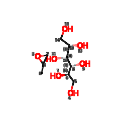 CC1CO1.OC[C@@H](O)[C@@H](O)[C@H](O)[C@@H](O)CO